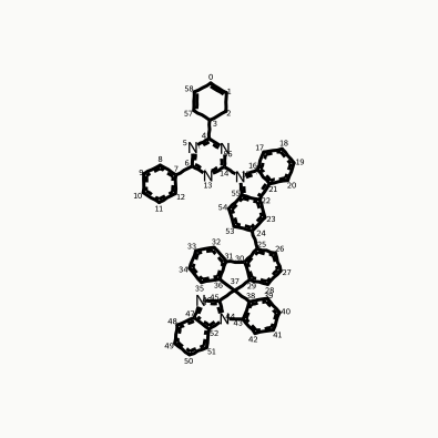 C1=CCC(c2nc(-c3ccccc3)nc(-n3c4ccccc4c4cc(-c5cccc6c5-c5ccccc5C65c6ccccc6-n6c5nc5ccccc56)ccc43)n2)C=C1